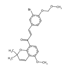 COCOc1ccc(C=CC(=O)c2ccc(OC)c3c2OC(C)(C)C=C3)cc1Br